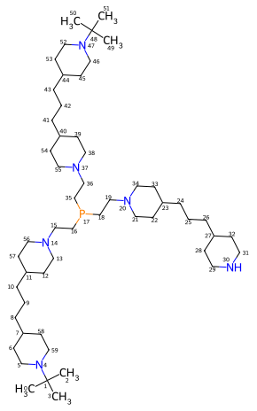 CC(C)(C)N1CCC(CCCC2CCN(CCP(CCN3CCC(CCCC4CCNCC4)CC3)CCN3CCC(CCCC4CCN(C(C)(C)C)CC4)CC3)CC2)CC1